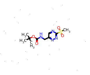 CC(C)(C)OC(=O)NCc1cnc(S(C)(=O)=O)nn1